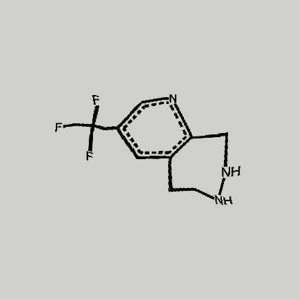 FC(F)(F)c1cnc2c(c1)CNNC2